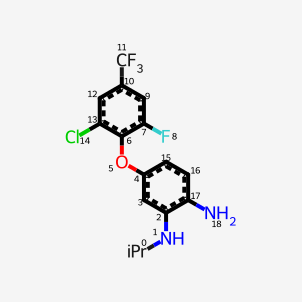 [CH2]C(C)Nc1cc(Oc2c(F)cc(C(F)(F)F)cc2Cl)ccc1N